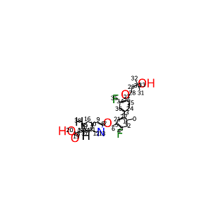 Cc1cc(F)c(COc2cc3c(cn2)[C@H]2[C@@H](C3)[C@@H]2C(=O)O)cc1-c1ccc(OCCC(C)(C)O)c(F)c1